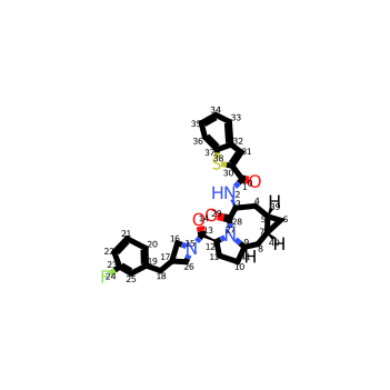 O=C(N[C@H]1C[C@@H]2C[C@@H]2C[C@H]2CC[C@@H](C(=O)N3CC(Cc4cccc(F)c4)C3)N2C1=O)c1cc2ccccc2s1